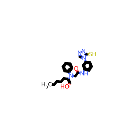 CCCCCC(CO)N(CC(=O)Nc1cccc(-n2cnnc2S)c1)c1ccccc1